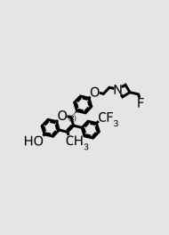 CC1=C(c2cccc(C(F)(F)F)c2)[C@@H](c2ccc(OCCN3CC(CF)C3)cc2)Oc2ccc(O)cc21